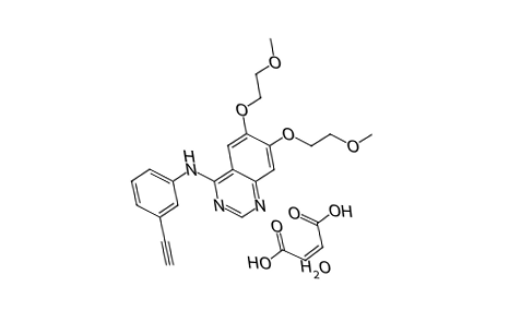 C#Cc1cccc(Nc2ncnc3cc(OCCOC)c(OCCOC)cc23)c1.O.O=C(O)/C=C\C(=O)O